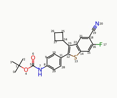 CC(C)(C)OC(=O)Nc1ccc(-c2sc3cc(F)c(C#N)cc3c2C2CCC2)cc1